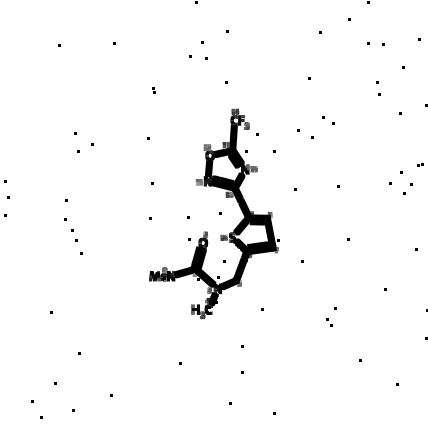 CNC(=O)N(C)Cc1ccc(-c2noc(C(F)(F)F)n2)s1